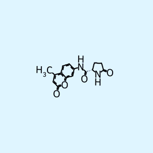 Cc1cc(=O)oc2cc(NC(=O)[C@@H]3CCC(=O)N3)ccc12